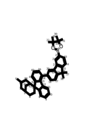 CC1CC2CCC3(c4ccccc4-c4c(-c5ccc6c(c5)-c5cc(B7OC(C)(C)C(C)(C)O7)ccc5C6(C)C)cccc43)C(C1)C2